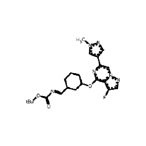 Cn1cc(-c2cn3ncc(F)c3c(O[C@@H]3CCCC(/C=N/C(=O)OC(C)(C)C)C3)n2)cn1